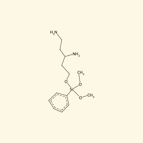 CO[Si](OC)(OCCC(N)CCN)c1ccccc1